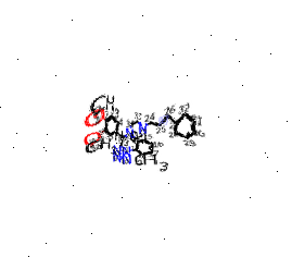 COc1ccc([C@H](c2nnnn2-c2c(C)cccc2C)N2CCN(C/C=C/c3ccccc3)CC2)cc1OC